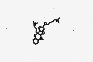 CN(C)CCCCOc1ccc(C2(CCCN(C)C)Sc3ccccc3N(C)C2=O)cc1